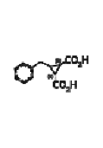 O=C(O)[C@@H]1C(Cc2ccccc2)[C@H]1C(=O)O